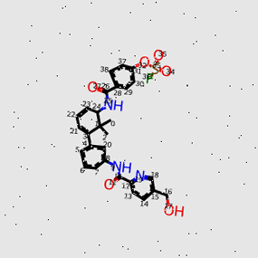 CC1(C)C(c2cccc(NC(=O)c3ccc(CO)cn3)c2)=CC=CC1NC(=O)c1ccc(OS(=O)(=O)F)cc1